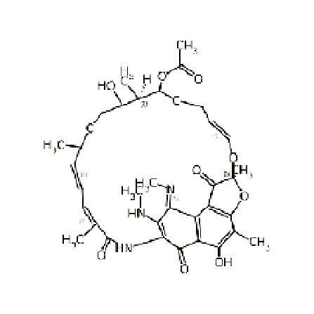 C/N=C1\C(NC)=C2NC(=O)/C(C)=C\C=C\C(C)CCC(O)[C@@H](C)C(OC(C)=O)CC/C=C/O[C@@]3(C)Oc4c(C)c(O)c(c1c4C3=O)C2=O